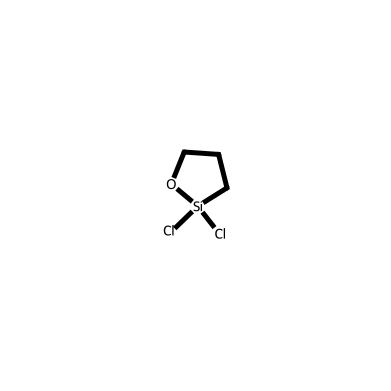 Cl[Si]1(Cl)CCCO1